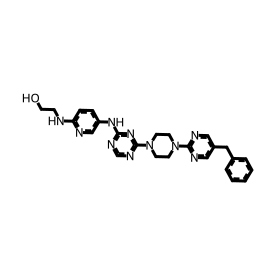 OCCNc1ccc(Nc2ncnc(N3CCN(c4ncc(Cc5ccccc5)cn4)CC3)n2)cn1